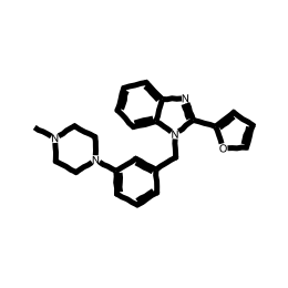 CN1CCN(c2cccc(Cn3c(-c4ccco4)nc4ccccc43)c2)CC1